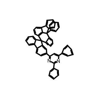 c1ccc(-c2cc(-c3ccc4c(c3)C3(c5ccccc5-4)c4ccccc4C4(c5ccccc5)c5ccccc5-c5cccc3c54)nc(-c3ccccc3)n2)cc1